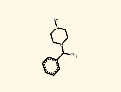 CC(c1ccccc1)N1CCN(S)CC1